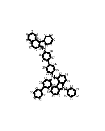 C1=Cc2c(c3c4ccccc4ccc3n2-c2ccc(-c3ccc(N(c4ccc(-c5ccccc5)cc4)c4cccc5c4c4ccccc4n5-c4ccccc4)cc3)cc2)CC1